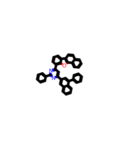 c1ccc(-c2nc(-c3cc(-c4ccccc4)c4ccccc4c3)cc(-c3cccc4c3oc3c5ccccc5ccc43)n2)cc1